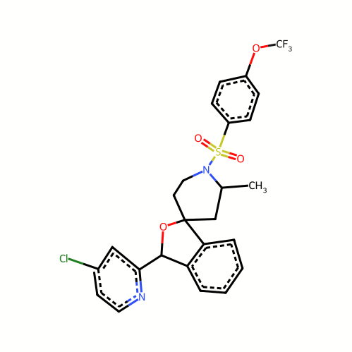 CC1CC2(CCN1S(=O)(=O)c1ccc(OC(F)(F)F)cc1)OC(c1cc(Cl)ccn1)c1ccccc12